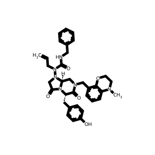 C=CCN(C(=O)NCc1ccccc1)N1CC(=O)N2[C@@H](Cc3ccc(O)cc3)C(=O)N(Cc3cccc4c3OCCN4C)C[C@@H]21